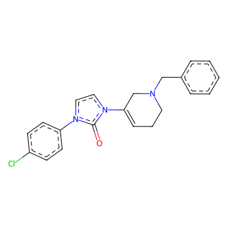 O=c1n(C2=CCCN(Cc3ccccc3)C2)ccn1-c1ccc(Cl)cc1